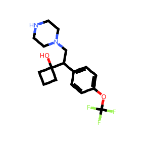 OC1(C(CN2CCNCC2)c2ccc(OC(F)(F)F)cc2)CCC1